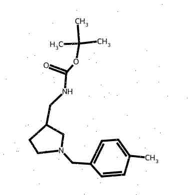 Cc1ccc(CN2CCC(CNC(=O)OC(C)(C)C)C2)cc1